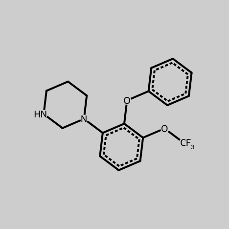 FC(F)(F)Oc1cccc(N2CCCNC2)c1Oc1ccccc1